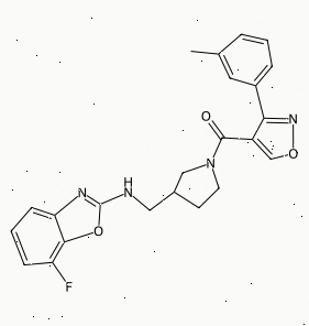 Cc1cccc(-c2nocc2C(=O)N2CCC(CNc3nc4cccc(F)c4o3)C2)c1